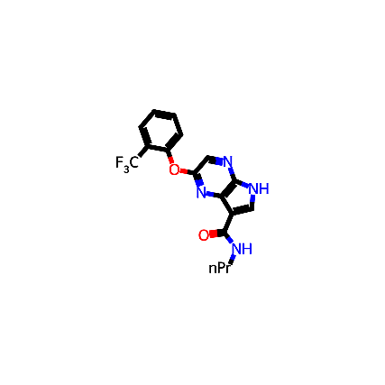 CCCNC(=O)c1c[nH]c2ncc(Oc3ccccc3C(F)(F)F)nc12